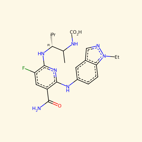 CCn1ncc2cc(Nc3nc(N[C@H](C(C)C)C(C)NC(=O)O)c(F)cc3C(N)=O)ccc21